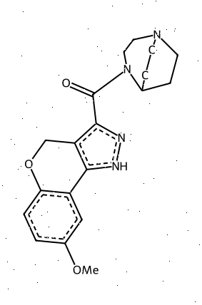 COc1ccc2c(c1)-c1[nH]nc(C(=O)N3CCN4CCC3CC4)c1CO2